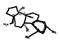 CCCCc1cc(O)cc2c1[C@H]1CC[C@]3(C)CCC[C@H]3[C@@H]1CC2